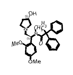 COc1ccc([C@@H](CN2CC[C@H](O)C2)N(C)C(=O)C(C)(c2ccccc2)c2ccccc2)c(OC)c1